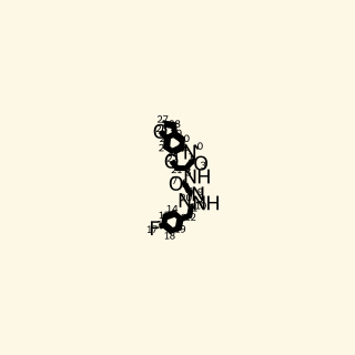 CN1C(=O)C(NC(=O)c2n[nH]c(Cc3ccc(F)cc3)n2)COc2cc3occc3cc21